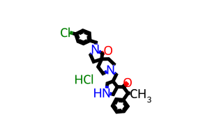 CC(C(=O)C1CNCC1CN1CCC2(CC1)CCN(Cc1ccc(Cl)cc1)C2=O)c1ccccc1.Cl